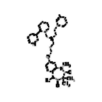 CCN1C(=O)C(C)(C)C(=O)N(C)c2cc(OCCCN(CCc3cccnc3)Cc3ccccc3-c3cccnc3)ccc21